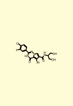 CC(C)c1c(C(=O)NC(CO)CO)cn2nc(-c3ccc(Cl)c(F)c3)[nH]c(=O)c12